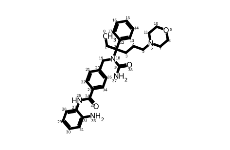 CCC(CCCN1CCOCC1)(c1ccccc1)N(Cc1ccc(C(=O)Nc2ccccc2N)cc1)C(N)=O